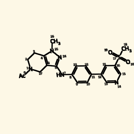 CC(=O)N1CCc2c(c(Nc3ccc(-c4cncc(S(C)(=O)=O)c4)cc3)nn2C)C1